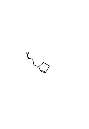 CCOCCN1C=CCC1